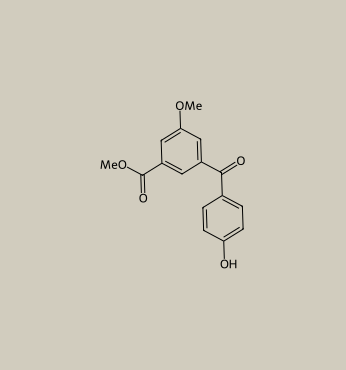 COC(=O)c1cc(OC)cc(C(=O)c2ccc(O)cc2)c1